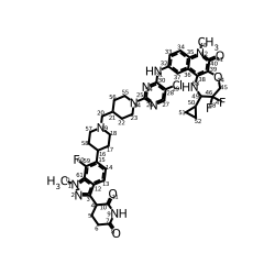 Cn1nc(C2CCC(=O)NC2=O)c2ccc(C3CCN(CC4CCN(c5ncc(Cl)c(Nc6ccc7c(c6)c6c(c(=O)n7C)OCC(F)(F)C(C7CC7)N6)n5)CC4)CC3)c(F)c21